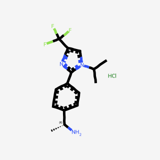 CC(C)n1cc(C(F)(F)F)nc1-c1ccc([C@@H](C)N)cc1.Cl